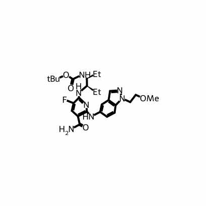 CC[C@H](NC(=O)OC(C)(C)C)[C@@H](CC)Nc1nc(Nc2ccc3c(cnn3CCOC)c2)c(C(N)=O)cc1F